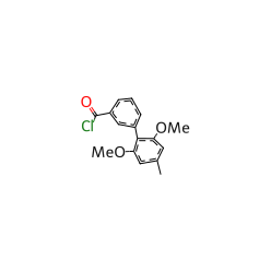 COc1cc(C)cc(OC)c1-c1cccc(C(=O)Cl)c1